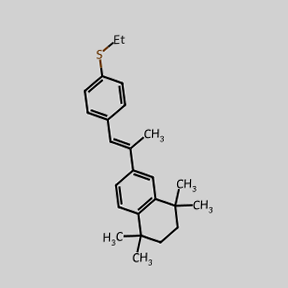 CCSc1ccc(/C=C(\C)c2ccc3c(c2)C(C)(C)CCC3(C)C)cc1